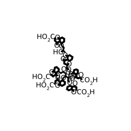 O=C(O)c1cc(=O)c2c(CC(OC(=O)c3cc(=O)c4c(OCC(O)COc5cccc6oc(C(=O)O)cc(=O)c56)cccc4o3)C(OOc3cccc4oc(C(=O)O)cc(=O)c34)C(Oc3cccc4oc(C(=O)O)cc(=O)c34)C(O)COc3cccc4oc(C(=O)O)cc(=O)c34)cccc2o1